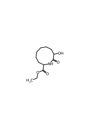 CCOC(=O)C1CCCCCCC(O)C(=O)N1